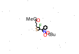 COC(=O)CCCc1scc(-c2cn(C(=O)OC(C)(C)C)c3ccccc23)c1F